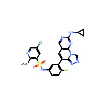 COc1ncc(Cl)cc1S(=O)(=O)Nc1ccc(F)c(-c2cc3cnc(NC4CC4)nc3n3cnnc23)c1